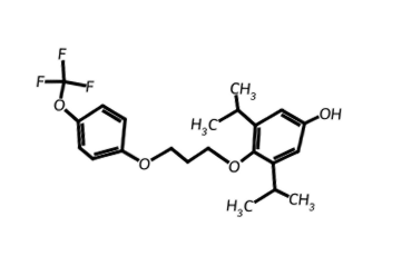 CC(C)c1cc(O)cc(C(C)C)c1OCCCOc1ccc(OC(F)(F)F)cc1